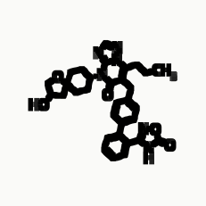 CCCc1c(Cc2ccc(-c3ccccc3-c3noc(=O)[nH]3)cc2)c(=O)n([C@H]2CC[C@@]3(CC2)CC(O)CO3)c2ncnn12